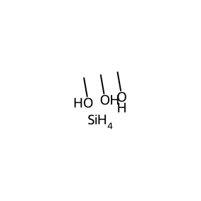 CO.CO.CO.[SiH4]